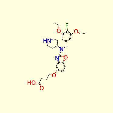 CCOc1cc(CN(c2nc3cc(OCCCC(=O)O)ccc3o2)C2CCNCC2)cc(OCC)c1F